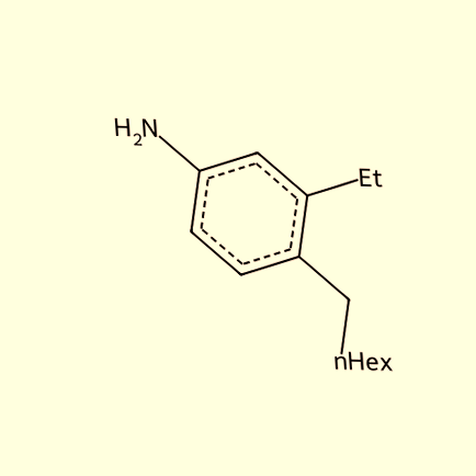 CCCCCCCc1ccc(N)cc1CC